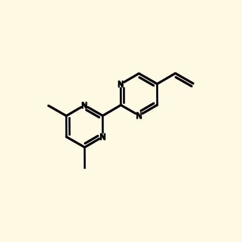 C=Cc1cnc(-c2nc(C)cc(C)n2)nc1